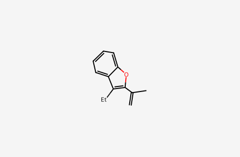 C=C(C)c1oc2ccccc2c1CC